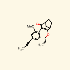 C=CCOC1=C(c2ccc(C#CC)cc2OC)C(=O)C2CCC1C2